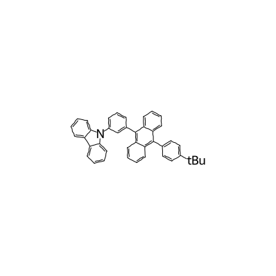 CC(C)(C)c1ccc(-c2c3ccccc3c(-c3cccc(-n4c5ccccc5c5ccccc54)c3)c3ccccc23)cc1